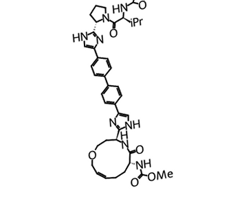 COC(=O)N[C@@H]1CC/C=C\COCC[C@@H](c2nc(-c3ccc(-c4ccc(-c5c[nH]c([C@@H]6CCCN6C(=O)[C@@H](NC6OCO6)C(C)C)n5)cc4)cc3)c[nH]2)NC1=O